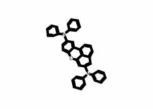 c1ccc(N(c2ccccc2)c2ccc3c(c2)-c2cccc4cc(N(c5ccccc5)c5ccccc5)cc(c24)O3)cc1